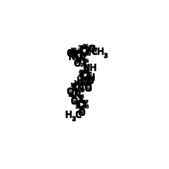 COc1ccc(CN2C(=O)COc3ccc(N4C(=O)O[C@@H]5C[C@@H](NCCn6c(=O)c7nocc7c7ccc(OC)cc76)CC[C@@H]54)nc32)cc1